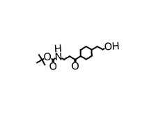 CC(C)(C)OC(=O)NCCC(=O)C1CCC(CCO)CC1